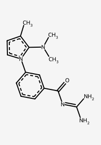 Cc1ccn(-c2cccc(C(=O)N=C(N)N)c2)c1N(C)C